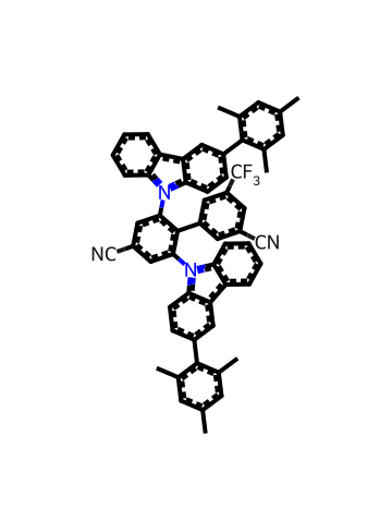 Cc1cc(C)c(-c2ccc3c(c2)c2ccccc2n3-c2cc(C#N)cc(-n3c4ccccc4c4cc(-c5c(C)cc(C)cc5C)ccc43)c2-c2cc(C#N)cc(C(F)(F)F)c2)c(C)c1